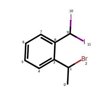 CC(Br)c1ccccc1C(I)I